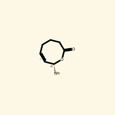 CCC[C@@H]1/C=C\CCCC(=O)O1